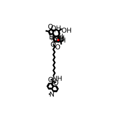 CC1=C[C@H]2[C@@]3(O)[C@H](C)[C@@H](OC(=O)CCCCCCCCCCCNS(=O)(=O)c4cccc5c(N(C)C)cccc45)[C@]4(O)[C@@H]([C@@H]3C=C(CO)C[C@]2(O)C1=O)C4(C)C